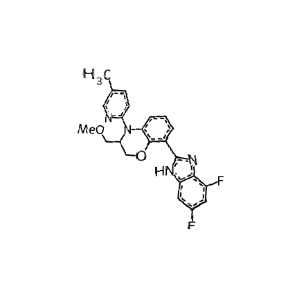 COCC1COc2c(-c3nc4c(F)cc(F)cc4[nH]3)cccc2N1c1ccc(C)cn1